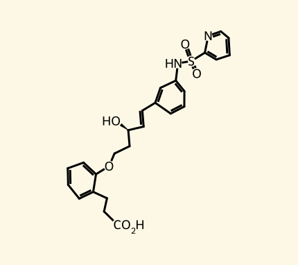 O=C(O)CCc1ccccc1OCC[C@@H](O)/C=C/c1cccc(NS(=O)(=O)c2ccccn2)c1